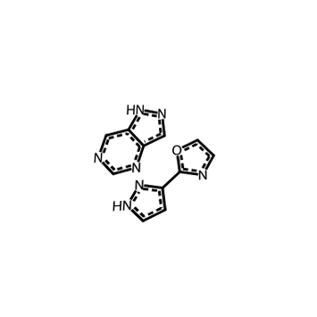 c1coc(-c2cc[nH]n2)n1.c1ncc2[nH]ncc2n1